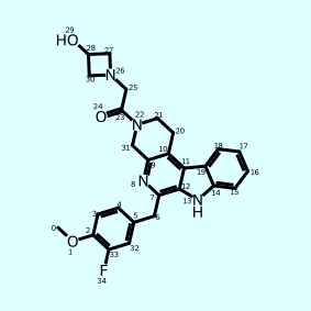 COc1ccc(Cc2nc3c(c4c2[nH]c2ccccc24)CCN(C(=O)CN2CC(O)C2)C3)cc1F